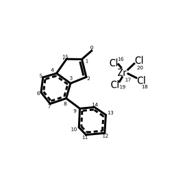 CC1=Cc2c(cccc2-c2ccccc2)[CH]1.[Cl][Zr]([Cl])([Cl])[Cl]